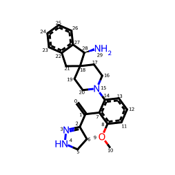 C=C(C1=NNCC1)c1c(OC)cccc1N1CCC2(CC1)Cc1ccccc1[C@H]2N